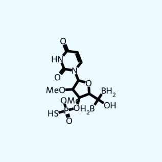 BC(B)(O)C1OC(n2ccc(=O)[nH]c2=O)C(OC)C1OP(=O)(S)OC